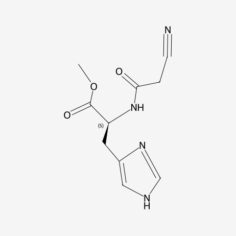 COC(=O)[C@H](Cc1c[nH]cn1)NC(=O)CC#N